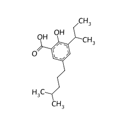 CCC(C)c1cc(CCCC(C)C)cc(C(=O)O)c1O